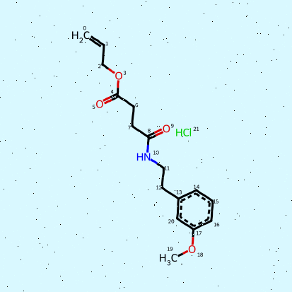 C=CCOC(=O)CCC(=O)NCCc1cccc(OC)c1.Cl